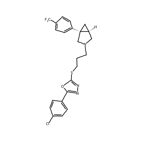 FC(F)(F)c1ccc([C@]23C[C@H]2CN(CCCSc2nnc(-c4ccc(Cl)cc4)o2)C3)cc1